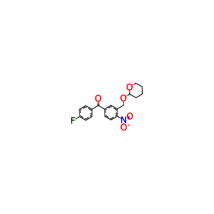 O=C(c1ccc(F)cc1)c1ccc([N+](=O)[O-])c(COC2CCCCO2)c1